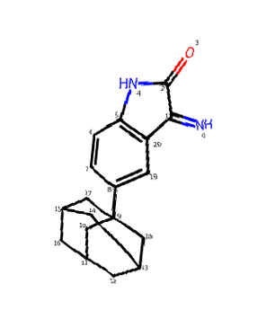 N=C1C(=O)Nc2ccc(C34CC5CC(CC(C5)C3)C4)cc21